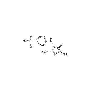 Cc1nn(N)c(=S)n1Nc1ccc(S(=O)(=O)O)cc1